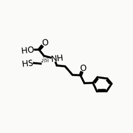 O=C(CCCN[C@H](CS)C(=O)O)Cc1ccccc1